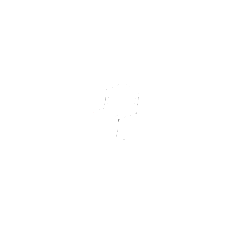 CCCCc1c(O)cccc1C(C)=O